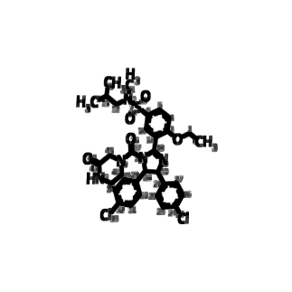 CCOc1ccc(S(=O)(=O)N(C)CC(C)C)cc1C1=NC(c2ccc(Cl)cc2)C(c2ccc(Cl)cc2)N1C(=O)N1CCNC(=O)C1